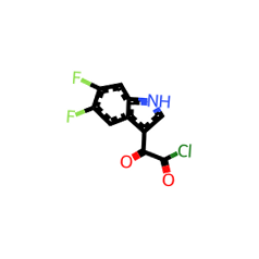 O=C(Cl)C(=O)c1c[nH]c2cc(F)c(F)cc12